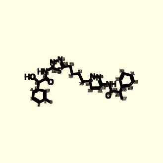 Cc1cccc(C(O)C(=O)Nc2nnc(CCCCc3ccc(NC(=O)C(C)c4ccccc4)nn3)s2)c1